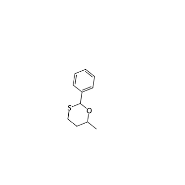 CC1CCSC(c2ccccc2)O1